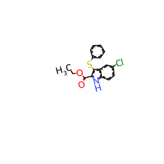 CCOC(=O)c1[nH]c2ccc(Cl)cc2c1Sc1ccccc1